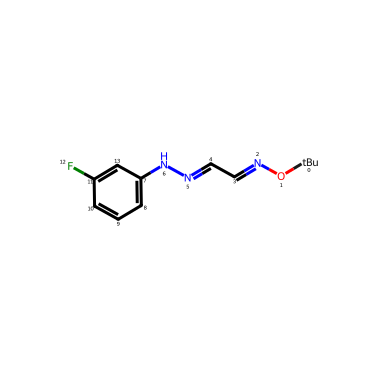 CC(C)(C)ON=CC=NNc1cccc(F)c1